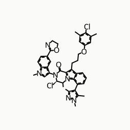 Cc1cc(OCCCc2c3n(c4c(-c5c(C)nn(C)c5C)cccc24)C(C)[C@@H](Cl)N(c2cn(C)c4ccc(C5=NCCO5)cc24)C3=O)cc(C)c1Cl